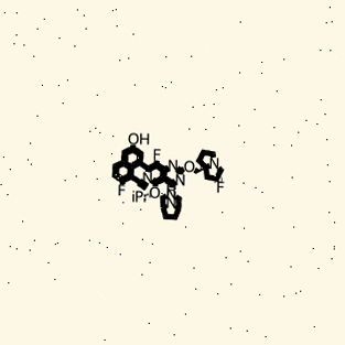 C#Cc1c(F)ccc2cc(O)cc(-c3nc(OC(C)C)c4c(N5CC6CCC(C5)N6)nc(OC[C@@]56CCCN5C[C@H](F)C6)nc4c3F)c12